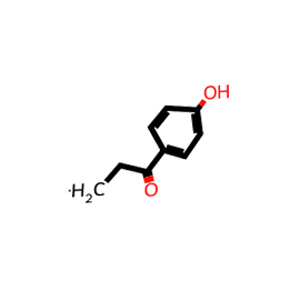 [CH2]CC(=O)c1ccc(O)cc1